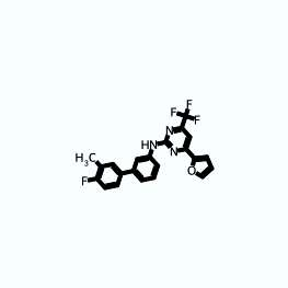 Cc1cc(-c2cccc(Nc3nc(-c4ccco4)cc(C(F)(F)F)n3)c2)ccc1F